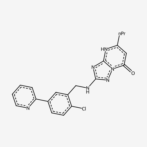 CCCc1cc(=O)n2nc(NCc3cc(-c4ccccn4)ccc3Cl)nc2[nH]1